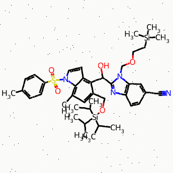 Cc1ccc(S(=O)(=O)n2ccc3c(C(O)c4nc5ccc(C#N)cc5n4COCC[Si](C)(C)C)c(CO[Si](C(C)C)(C(C)C)C(C)C)cc(C)c32)cc1